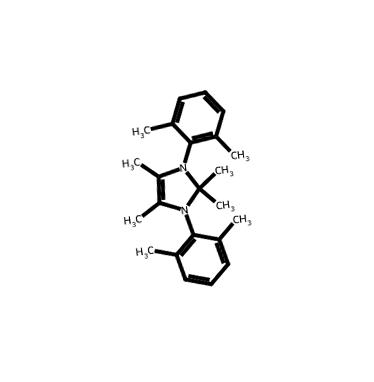 CC1=C(C)N(c2c(C)cccc2C)C(C)(C)N1c1c(C)cccc1C